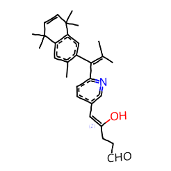 CC(C)=C(c1ccc(/C=C(\O)CCC=O)cn1)c1cc2c(cc1C)C(C)(C)C=CC2(C)C